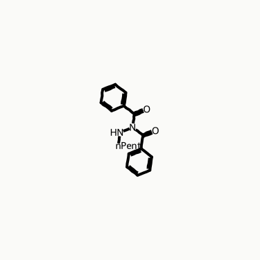 CCCCCNN(C(=O)c1ccccc1)C(=O)c1ccccc1